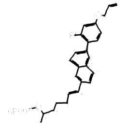 C=CCOc1ccc(-c2ccc3cc(C=CCCCC(C)OCCCCC)ccc3c2)c(F)c1